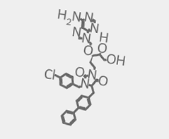 Nc1ncnc2c1ncn2CO[C@H](CCN1C(=O)C(Cc2ccc(-c3ccccc3)cc2)N(Cc2ccc(Cl)cc2)C1=O)[C@@H](O)CO